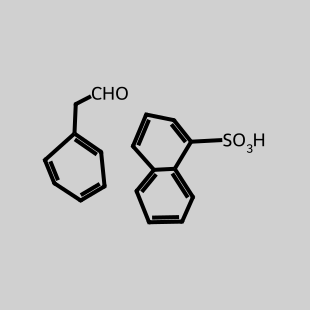 O=CCc1ccccc1.O=S(=O)(O)c1cccc2ccccc12